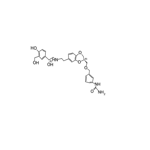 NC(=O)Nc1cccc(COC[C@@H]2COc3ccc(CCNC[C@H](O)c4ccc(O)c(CO)c4)cc3O2)c1